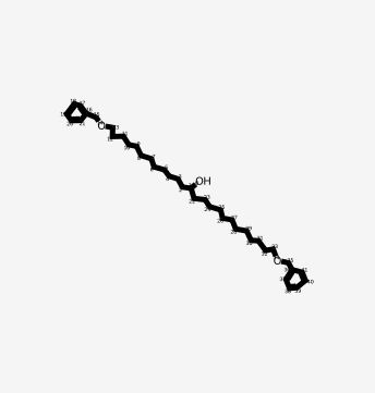 OC(CCCCCCCCCCCCOCc1ccccc1)CCCCCCCCCCCCOCc1ccccc1